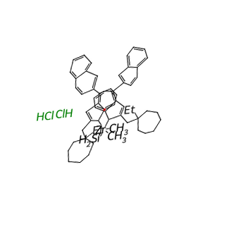 CCC1(CC2=Cc3c(-c4ccc5ccccc5c4)cccc3[CH]2[Zr]([CH3])([CH3])(=[SiH2])[CH]2C(CC3(CC)CCCCCC3)=Cc3c(-c4ccc5ccccc5c4)cccc32)CCCCCC1.Cl.Cl